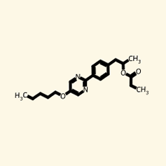 CCCCCOc1cnc(-c2ccc(CC(C)OC(=O)CC)cc2)nc1